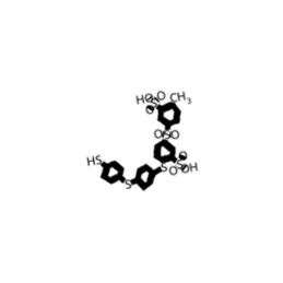 Cc1ccc(S(=O)(=O)c2ccc(Sc3ccc(Sc4ccc(S)cc4)cc3)c(S(=O)(=O)O)c2)cc1S(=O)(=O)O